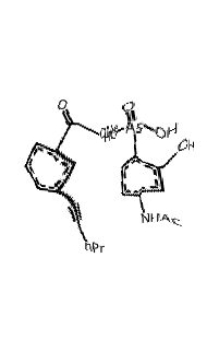 CC(=O)Nc1ccc([As](=O)(O)O)c(O)c1.CCCC#Cc1cccc(C(=O)OC)c1